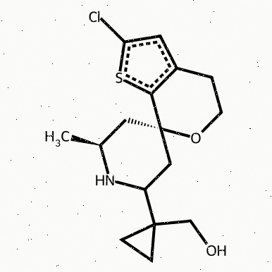 C[C@H]1C[C@@]2(CC(C3(CO)CC3)N1)OCCc1cc(Cl)sc12